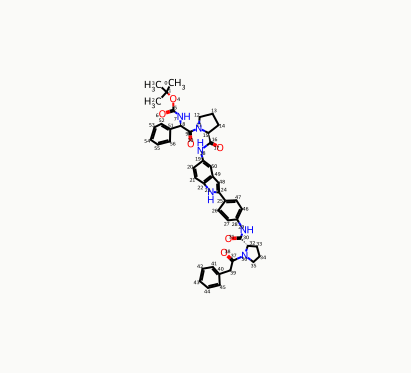 CC(C)(C)OC(=O)N[C@@H](C(=O)N1CCC[C@H]1C(=O)Nc1ccc2[nH]c(-c3ccc(NC(=O)[C@@H]4CCCN4C(=O)Cc4ccccc4)cc3)cc2c1)c1ccccc1